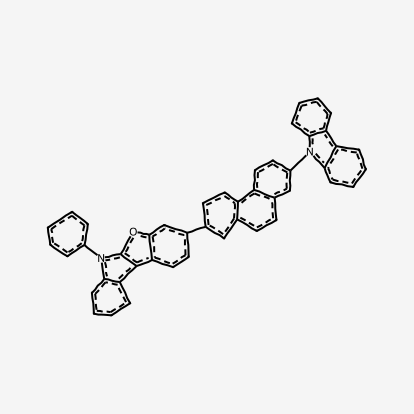 c1ccc(-n2c3ccccc3c3c4ccc(-c5ccc6c(ccc7cc(-n8c9ccccc9c9ccccc98)ccc76)c5)cc4oc32)cc1